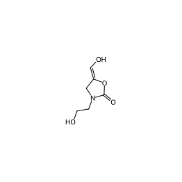 O=C1OC(=CO)CN1CCO